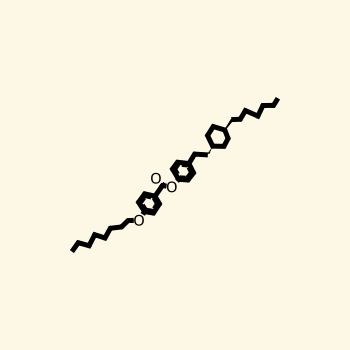 CCCCCCCCOc1ccc(C(=O)Oc2ccc(CC[C@H]3CC[C@H](CCCCCCC)CC3)cc2)cc1